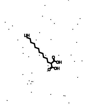 CCCCCCCCCCCC(C(=O)O)C(=O)O.[LiH]